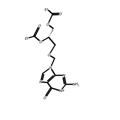 CCC(=O)OC[C@H](COCn1cnc2c(=O)[nH]c(N)nc21)OC(=O)CC